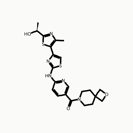 Cc1nc([C@H](C)O)sc1-c1csc(Nc2ccc(C(=O)N3CCC4(CC3)COC4)cn2)n1